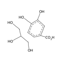 O=C(O)c1ccc(O)c(O)c1.OCC(O)CO